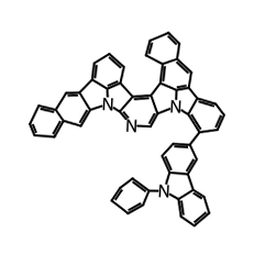 c1ccc(-n2c3ccccc3c3cc(-c4cccc5c6cc7ccccc7c7c8c9c%10cccc%11c%12cc%13ccccc%13cc%12n(c9ncc8n(c45)c67)c%11%10)ccc32)cc1